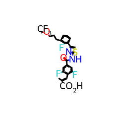 CC(=Cc1c(F)cc(C(=O)Nc2nc(-c3cccc(CCCOCC(F)(F)F)c3F)cs2)cc1F)C(=O)O